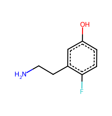 NCCc1cc(O)ccc1F